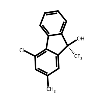 Cc1cc(Cl)c2c(c1)[C@@](O)(C(F)(F)F)c1ccccc1-2